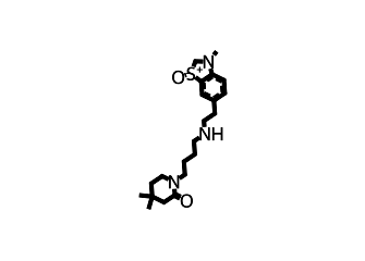 CN1C[S+]([O-])c2cc(CCNCCCCN3CCC(C)(C)CC3=O)ccc21